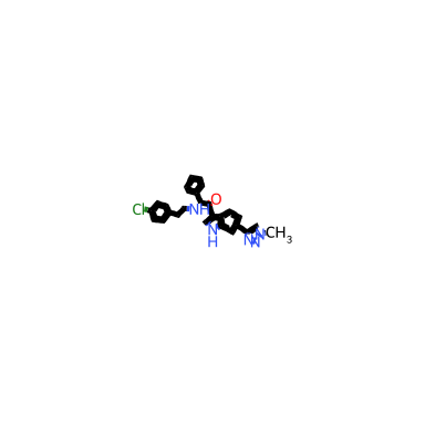 Cn1cc(-c2ccc3c(C(=O)C(NCCc4ccc(Cl)cc4)c4ccccc4)c[nH]c3c2)nn1